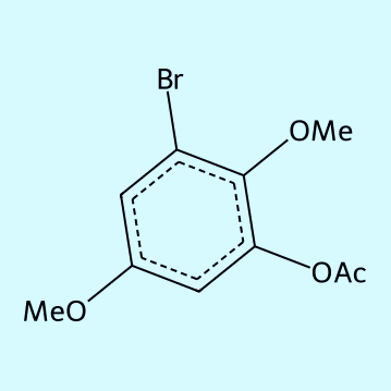 COc1cc(Br)c(OC)c(OC(C)=O)c1